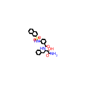 NC(=O)[C@@H](O)C(Cc1ccccc1)NC(=O)c1cccc(NS(=O)(=O)c2ccc3ccccc3c2)c1